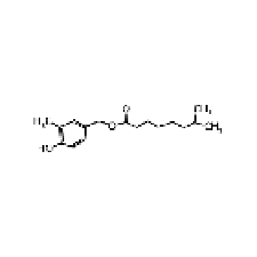 Cc1cc(COC(=O)CCCCCC(C)C)ccc1O